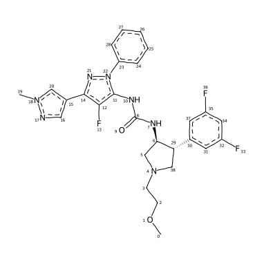 COCCN1C[C@@H](NC(=O)Nc2c(F)c(-c3cnn(C)c3)nn2-c2ccccc2)[C@H](c2cc(F)cc(F)c2)C1